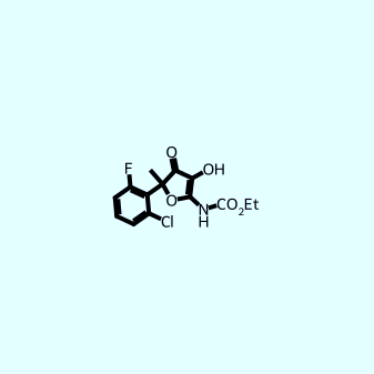 CCOC(=O)NC1=C(O)C(=O)C(C)(c2c(F)cccc2Cl)O1